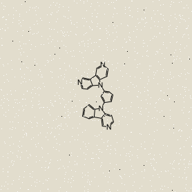 c1cc(-n2c3ccccc3c3cnccc32)cc(-n2c3ccncc3c3cnccc32)c1